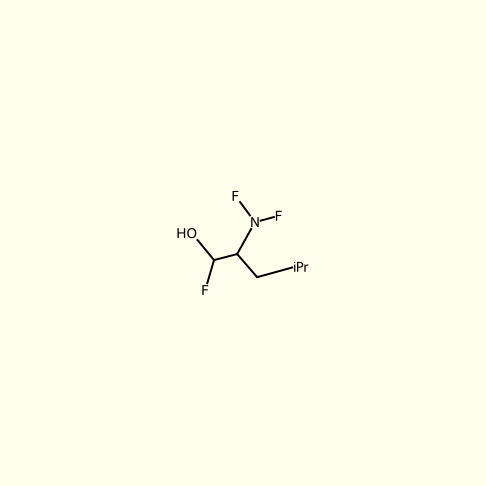 CC(C)CC(C(O)F)N(F)F